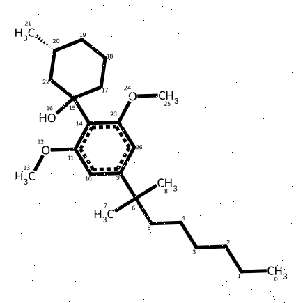 CCCCCCC(C)(C)c1cc(OC)c(C2(O)CCC[C@@H](C)C2)c(OC)c1